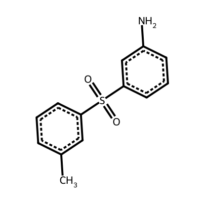 Cc1cccc(S(=O)(=O)c2cccc(N)c2)c1